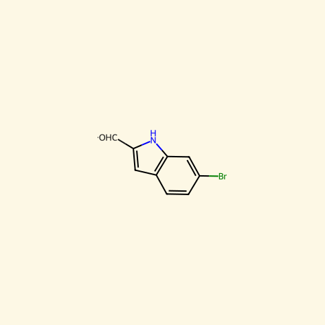 O=[C]c1cc2ccc(Br)cc2[nH]1